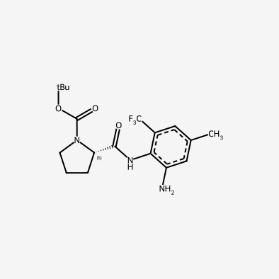 Cc1cc(N)c(NC(=O)[C@@H]2CCCN2C(=O)OC(C)(C)C)c(C(F)(F)F)c1